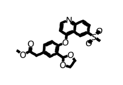 COC(=O)Cc1ccc(Oc2ccnc3ccc(S(C)(=O)=O)cc23)c(C2OCCO2)c1